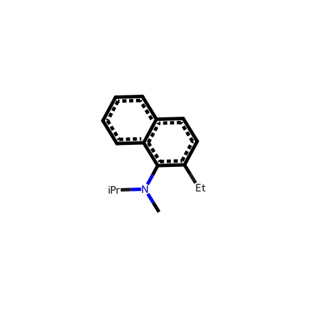 CCc1ccc2ccccc2c1N(C)C(C)C